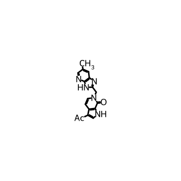 CC(=O)c1c[nH]c2c(=O)n(Cc3nc4cc(C)cnc4[nH]3)ccc12